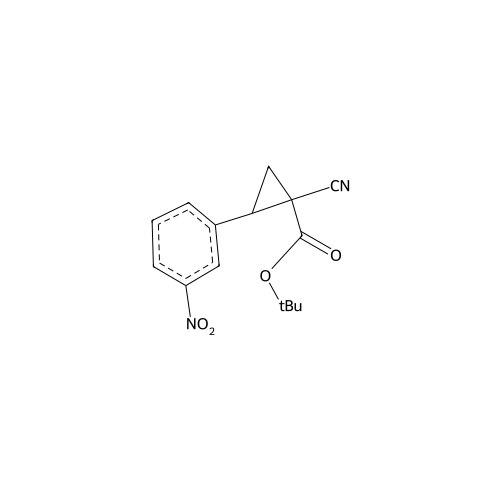 CC(C)(C)OC(=O)C1(C#N)CC1c1cccc([N+](=O)[O-])c1